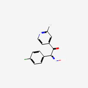 CC(=O)Nc1cc(C(=O)/C(=N\O)c2ccc(F)cc2)ccn1